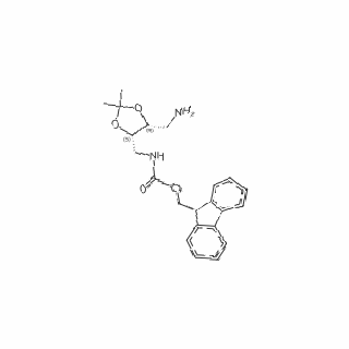 CC1(C)O[C@@H](CNC(=O)OCC2c3ccccc3-c3ccccc32)[C@@H](CN)O1